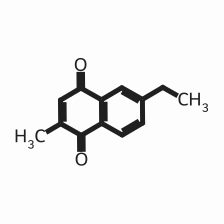 CCc1ccc2c(c1)C(=O)C=C(C)C2=O